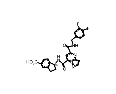 O=C(O)c1ccc2c(c1)CC[C@@H]2NC(=O)c1cc(C(=O)NCc2ccc(F)c(F)c2)nc2ccnn12